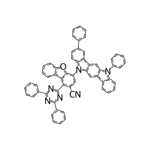 N#Cc1cc(-n2c3ccc(-c4ccccc4)cc3c3cc4c(cc32)c2ccccc2n4-c2ccccc2)c2oc3ccccc3c2c1-c1nc(-c2ccccc2)nc(-c2ccccc2)n1